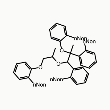 CCCCCCCCCc1ccccc1OCC(C)OC(c1ccccc1CCCCCCCCC)C(C)(Oc1ccccc1CCCCCCCCC)c1ccccc1CCCCCCCCC